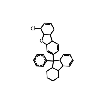 ClC1C=CCC2C3C=CC(C4(c5ccccc5)C5C=CC=CC5C5CCCCC54)=CC3OC12